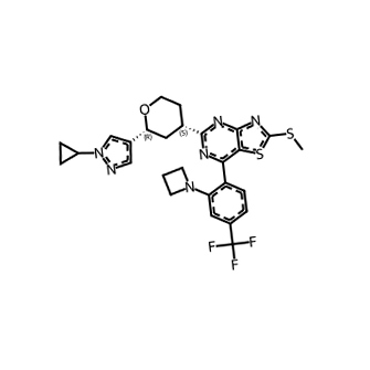 CSc1nc2nc([C@H]3CCO[C@@H](c4cnn(C5CC5)c4)C3)nc(-c3ccc(C(F)(F)F)cc3N3CCC3)c2s1